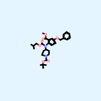 COC(=O)c1cc(OCc2ccccc2)ccc1N(C(=O)OCC(C)C)C1CCN(C(=O)OC(C)(C)C)CC1